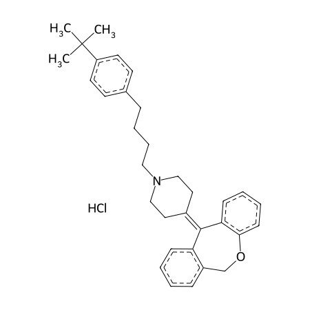 CC(C)(C)c1ccc(CCCCN2CCC(=C3c4ccccc4COc4ccccc43)CC2)cc1.Cl